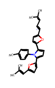 N#CC(C#N)=C/C=C/c1ccc(-c2ccc(-c3ccc(C=C(C#N)C#N)o3)n2-c2ccc(C#N)cc2)o1